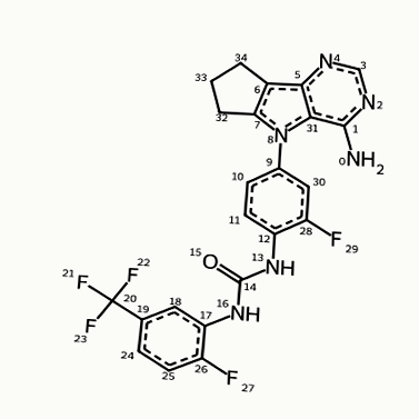 Nc1ncnc2c3c(n(-c4ccc(NC(=O)Nc5cc(C(F)(F)F)ccc5F)c(F)c4)c12)CCC3